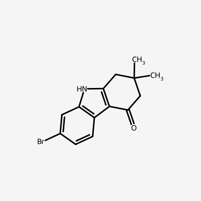 CC1(C)CC(=O)c2c([nH]c3cc(Br)ccc23)C1